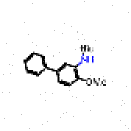 COc1ccc(-c2ccccc2)cc1NC(C)(C)C